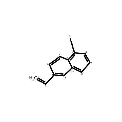 C=Cc1ccc2c(I)cccc2c1